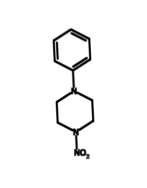 O=[N+]([O-])N1CCN(c2ccccc2)CC1